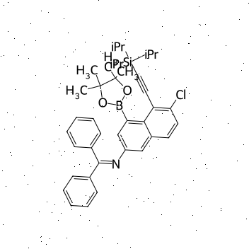 CC(C)[Si](C#Cc1c(Cl)ccc2cc(N=C(c3ccccc3)c3ccccc3)cc(B3OC(C)(C)C(C)(C)O3)c12)(C(C)C)C(C)C